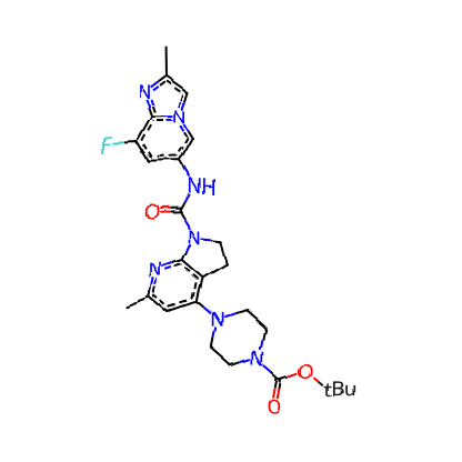 Cc1cc(N2CCN(C(=O)OC(C)(C)C)CC2)c2c(n1)N(C(=O)Nc1cc(F)c3nc(C)cn3c1)CC2